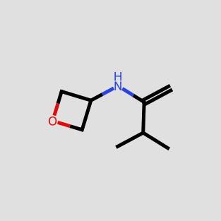 C=C(NC1COC1)C(C)C